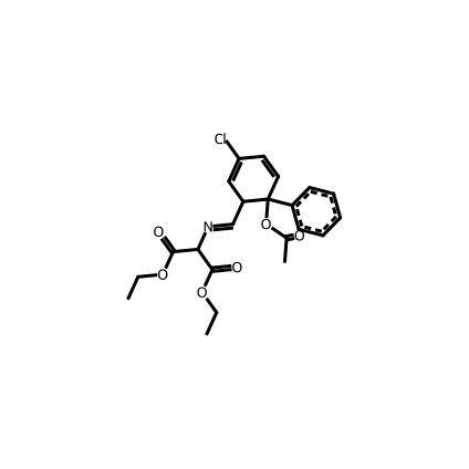 CCOC(=O)C(N=CC1C=C(Cl)C=CC1(OC(C)=O)c1ccccc1)C(=O)OCC